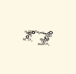 CN[C@@H](C)C(=O)NC(C(=O)N1CCC[C@H]1C(=O)N[C@H]1c2ccccc2C[C@H]1OCCOCCOCCOc1ccc(N2C(=S)N(c3ccc(C#N)c(C(F)(F)F)c3)C(=O)C2(C)C)cc1)C(C)(C)C